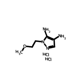 COCCn1ncc(N)c1N.Cl.Cl